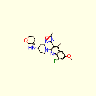 COc1cc(F)c2nc(N3CCC(N[C@@H]4CCCOC4)CC3)c(-c3noc(C)n3)c(C)c2c1